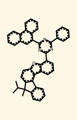 CC(C)C1(C)c2ccccc2-c2c1ccc1oc3c(-c4nc(-c5ccccc5)nc(-c5cc6ccccc6c6ccccc56)n4)cccc3c21